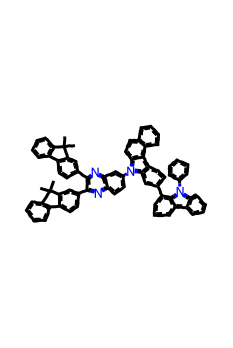 CC1(C)c2ccccc2-c2ccc(-c3nc4ccc(-n5c6cc(-c7cccc8c9ccccc9n(-c9ccccc9)c78)ccc6c6c7ccccc7ccc65)cc4nc3-c3ccc4c(c3)C(C)(C)c3ccccc3-4)cc21